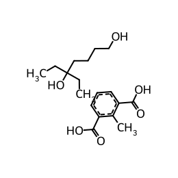 CCC(O)(CC)CCCCO.Cc1c(C(=O)O)cccc1C(=O)O